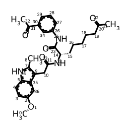 COc1ccc2[nH]c(C)c(CC(=O)N[C@@H](CCCCCC(C)=O)C(=O)Nc3cccc(C(C)=O)c3)c2c1